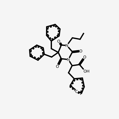 CCCN1C(=O)N(C(Cc2ccccc2)C(=O)O)C(=O)C(Cc2ccccc2)(Cc2ccccc2)C1=O